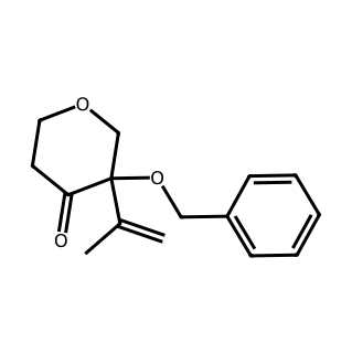 C=C(C)C1(OCc2ccccc2)COCCC1=O